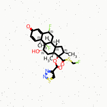 C[C@@H]1C[C@H]2[C@@H]3C[C@H](F)C4=CC(=O)C=C[C@]4(C)[C@@]3(F)[C@@H](O)C[C@]2(C)[C@@]1(OC(=O)c1csnn1)C(=O)SCF